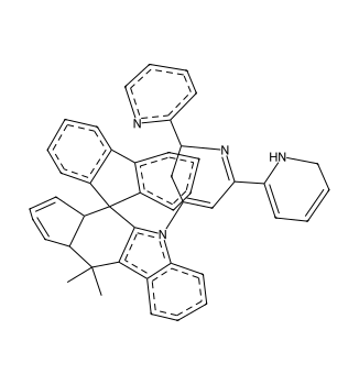 CC1(C)c2c(n(C3=CC(C4=CC=CCN4)=NC(c4ccccn4)C3)c3ccccc23)C2(c3ccccc3-c3ccccc32)C2C=CC=CC21